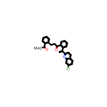 C=C(c1ccc2ccc(Cl)cc2n1)c1ccccc1C(=O)CCc1ccccc1C(=O)OC